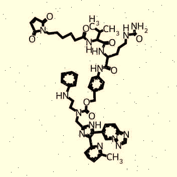 Cc1cccc(-c2nc(CN(CCNc3ccccc3)C(=O)OCc3ccc(NC(=O)C(CCCNC(N)=O)NC(=O)C(NC(=O)CCCCCN4C(=O)C=CC4=O)C(C)C)cc3)[nH]c2-c2ccc3ncnn3c2)n1